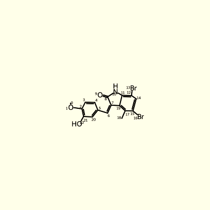 COc1ccc(C=C2C(=O)Nc3c(Br)cc(Br)c(C)c32)cc1O